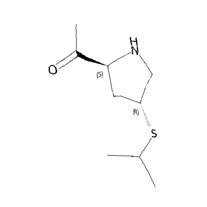 CC(=O)[C@@H]1C[C@@H](SC(C)C)CN1